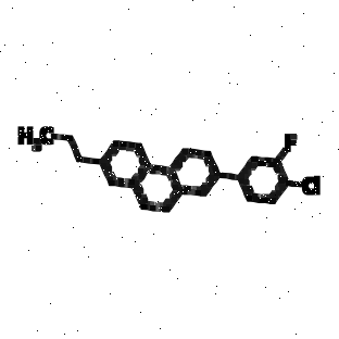 CCCc1ccc2c(ccc3cc(-c4ccc(Cl)c(F)c4)ccc32)c1